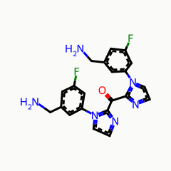 NCc1cc(F)cc(-n2ccnc2C(=O)c2nccn2-c2cc(F)cc(CN)c2)c1